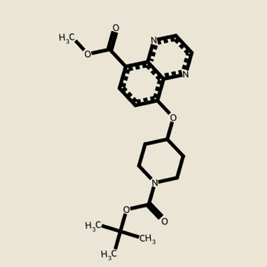 COC(=O)c1ccc(OC2CCN(C(=O)OC(C)(C)C)CC2)c2nccnc12